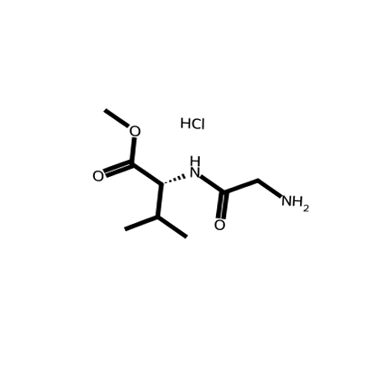 COC(=O)[C@H](NC(=O)CN)C(C)C.Cl